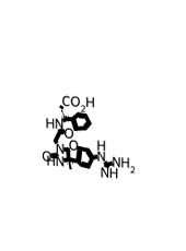 C[C@@]1(c2ccc(NC(=N)N)cc2)NC(=O)N(CC(=O)N[C@H](CC(=O)O)c2ccccc2)C1=O